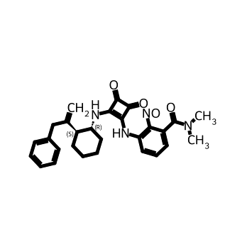 C=C(Cc1ccccc1)[C@@H]1CCCC[C@H]1Nc1c(Nc2cccc(C(=O)N(C)C)c2N=O)c(=O)c1=O